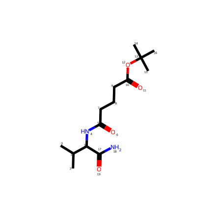 CC(C)C(NC(=O)CCCC(=O)OC(C)(C)C)C(N)=O